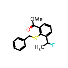 COC(=O)c1cccc(C(C)F)c1SCc1ccccc1